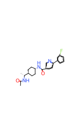 CC(=O)N[C@H](C)[C@H]1CC[C@H](NC(=O)c2ccc(-c3cccc(F)c3)nc2)CC1